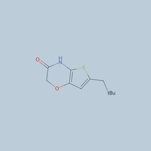 CC(C)(C)Cc1cc2c(s1)NC(=O)CO2